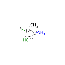 CC1=C(F)CCC1N.Cl